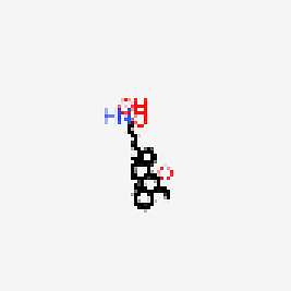 C/C=C1/C(=O)C2C3CCC(CCCC(=O)NO)C3(C)CCC2C2(C)CCCCC12